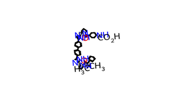 CN(C)[C@@H](C(=O)N1CCC[C@H]1c1ncc(-c2ccc(-c3ccc(-c4cnc([C@@H]5CCCN5C(=O)C5CCC(NC(=O)O)CC5)[nH]4)cc3)cc2)[nH]1)c1ccccc1